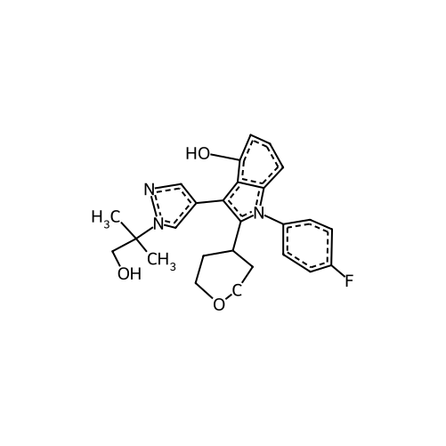 CC(C)(CO)n1cc(-c2c(C3CCOCC3)n(-c3ccc(F)cc3)c3cccc(O)c23)cn1